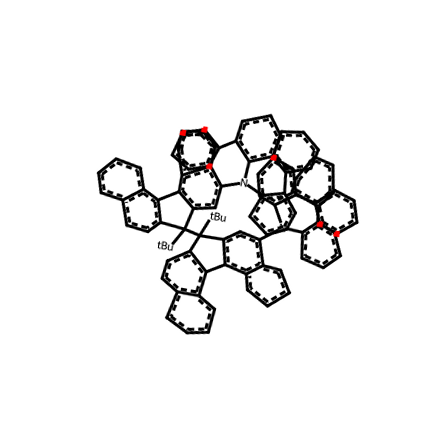 CC(C)(C)C1(C2(C(C)(C)C)c3ccc4ccccc4c3-c3c2cc(N(c2ccccc2-c2ccccc2)c2ccccc2-c2ccccc2)c2ccccc32)c2ccc3ccccc3c2-c2c1cc(N(c1ccccc1-c1ccccc1)c1ccccc1-c1ccccc1)c1ccccc21